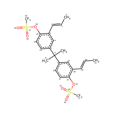 CC=Cc1cc(C(C)(C)c2ccc(OS(=O)(=O)C(F)(F)F)c(C=CC)c2)ccc1OS(=O)(=O)C(F)(F)F